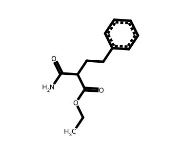 CCOC(=O)C(CCc1ccccc1)C(N)=O